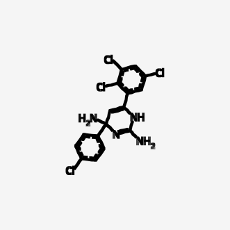 NC1=NC(N)(c2ccc(Cl)cc2)C=C(c2cc(Cl)cc(Cl)c2Cl)N1